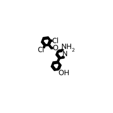 Nc1ncc(-c2cccc(O)c2)cc1OCc1c(Cl)cccc1Cl